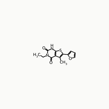 CCn1c(=O)[nH]c2sc(-c3ccco3)c(C)c2c1=O